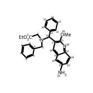 CCOC(=O)CN(Cc1ccccc1)C(c1ccccc1)c1cc2cc(N)ccc2nc1OC